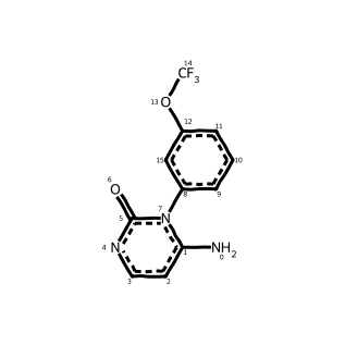 Nc1ccnc(=O)n1-c1cccc(OC(F)(F)F)c1